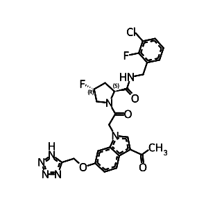 CC(=O)c1cn(CC(=O)N2C[C@H](F)C[C@H]2C(=O)NCc2cccc(Cl)c2F)c2cc(OCc3nnn[nH]3)ccc12